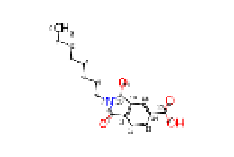 CCCCCCCCN1C(=O)c2ccc(C(=O)O)cc2C1=O